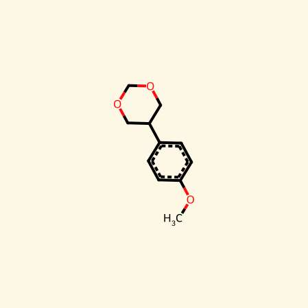 COc1ccc(C2COCOC2)cc1